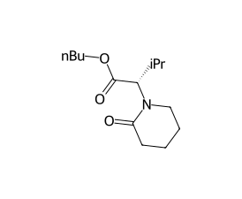 CCCCOC(=O)[C@H](C(C)C)N1CCCCC1=O